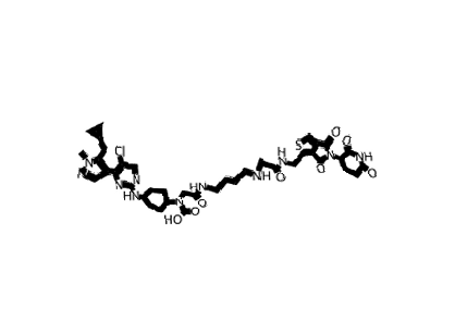 Cn1ncc(-c2nc(NC3CCC(N(CC(=O)NCCCCNCC(=O)NCc4scc5c4C(=O)N(C4CCC(=O)NC4=O)C5=O)C(=O)O)CC3)ncc2Cl)c1CC1CC1